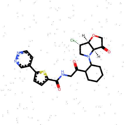 O=C(NCC(=O)C1CCCCC1N1C[C@H](Cl)[C@H]2OCC(=O)[C@H]21)c1ccc(-c2ccnnc2)s1